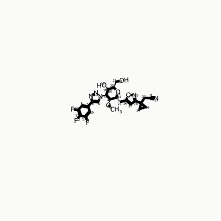 CO[C@@H]1[C@@H](n2cc(-c3cc(F)c(F)c(F)c3)nn2)[C@@H](O)[C@@H](CO)O[C@@H]1Cc1cc(C2(CC#N)CC2)no1